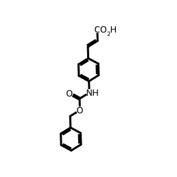 O=C(O)/C=C/c1ccc(NC(=O)OCc2ccccc2)cc1